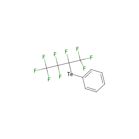 FC(F)(F)C(F)(F)C(F)([Te]c1ccccc1)C(F)(F)F